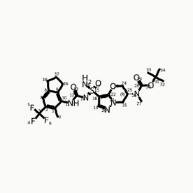 Cc1c(C(F)(F)F)cc2c(c1NC(=O)N=S(N)(=O)c1cnn3c1OC[C@H](N(C)C(=O)OC(C)(C)C)C3)CCC2